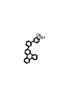 c1cc(-c2ccc3c(c2)OCN3)cc(-c2ccc3c4ccccc4c4ccccc4c3c2)c1